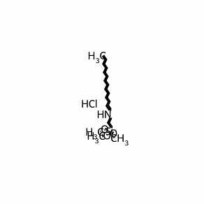 CCCCCCCCCCCCC=CNCCC[Si](OC)(OC)OC.Cl